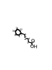 O=C(O)CCSCc1ccccc1